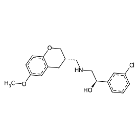 COc1ccc2c(c1)C[C@@H](CNC[C@H](O)c1cccc(Cl)c1)CO2